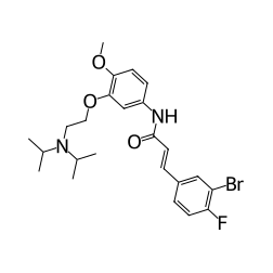 COc1ccc(NC(=O)/C=C/c2ccc(F)c(Br)c2)cc1OCCN(C(C)C)C(C)C